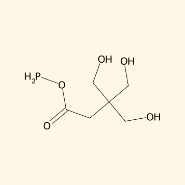 O=C(CC(CO)(CO)CO)OP